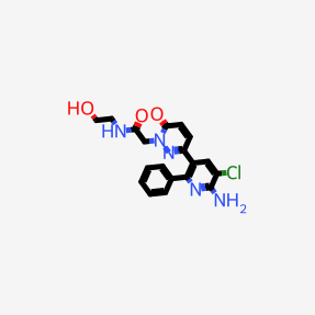 Nc1nc(-c2ccccc2)c(-c2ccc(=O)n(CC(=O)NCCO)n2)cc1Cl